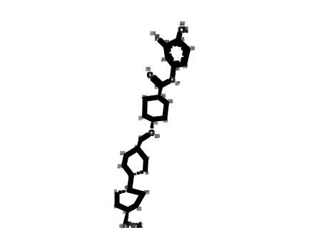 CCCCC[C@H]1CC[C@H]([C@H]2CC[C@H](CO[C@H]3CC[C@H](C(=O)Oc4ccc(C#N)c(F)c4)CC3)CC2)CC1